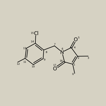 CC1=C(C)C(=O)N(Cc2ccc(C)cc2Cl)C1=O